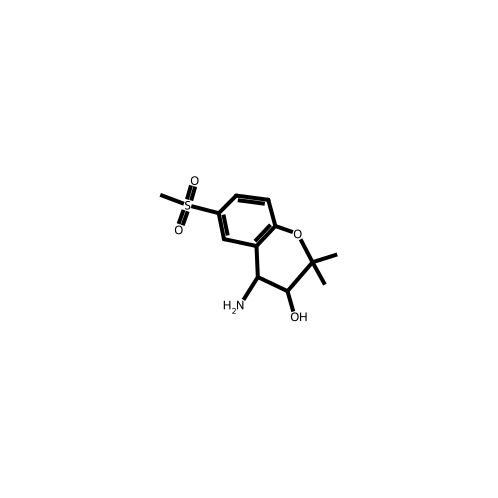 CC1(C)Oc2ccc(S(C)(=O)=O)cc2C(N)C1O